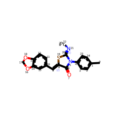 Cc1ccc(N2C(=O)/C(=C/c3ccc4c(c3)OCO4)S/C2=N\C(C)C)cc1